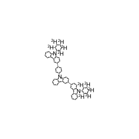 [2H]c1c([2H])c([2H])c(-n2c3ccccc3c3cc(-c4ccc(-n5c6ccccc6c6cc(-c7ccc8c(c7)c7ccccc7n8-c7c([2H])c([2H])c([2H])c([2H])c7[2H])ccc65)cc4)ccc32)c([2H])c1[2H]